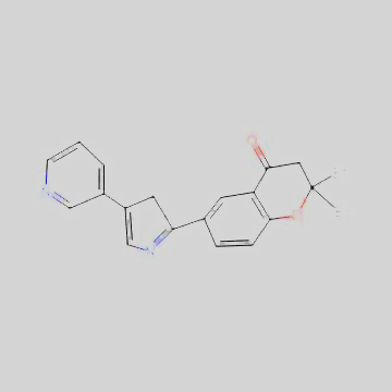 CCC1(CC)CC(=O)c2cc(C3=NC=C(c4cccnc4)C3)ccc2O1